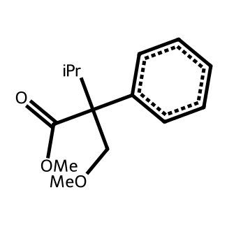 COCC(C(=O)OC)(c1ccccc1)C(C)C